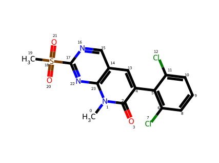 Cn1c(=O)c(-c2c(Cl)cccc2Cl)cc2cnc(S(C)(=O)=O)nc21